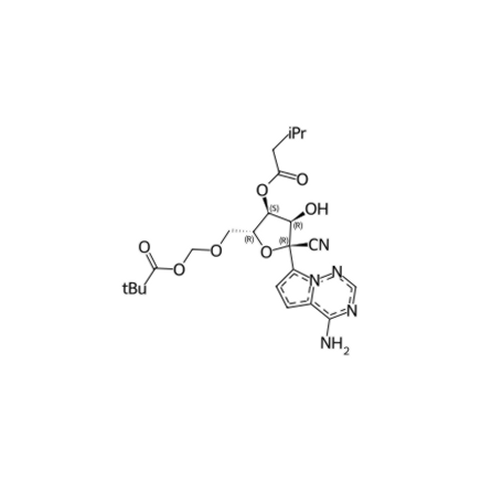 CC(C)CC(=O)O[C@H]1[C@@H](O)[C@](C#N)(c2ccc3c(N)ncnn23)O[C@@H]1COCOC(=O)C(C)(C)C